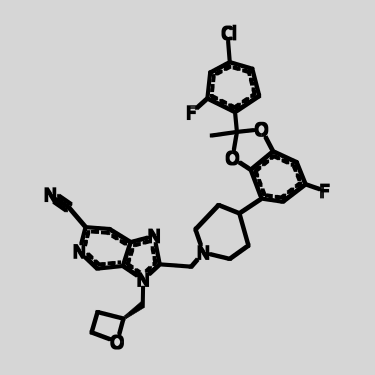 CC1(c2ccc(Cl)cc2F)Oc2cc(F)cc(C3CCN(Cc4nc5cc(C#N)ncc5n4C[C@@H]4CCO4)CC3)c2O1